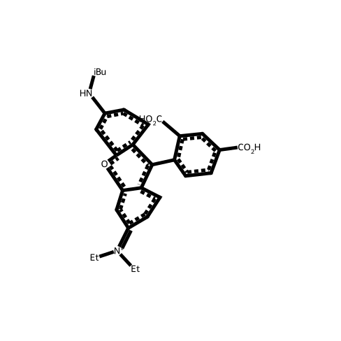 CCC(C)Nc1ccc2c(-c3ccc(C(=O)O)cc3C(=O)O)c3ccc(=[N+](CC)CC)cc-3oc2c1